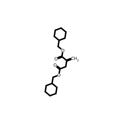 C=C(CC(=O)OCC1CCCCC1)C(=O)OCC1CCCCC1